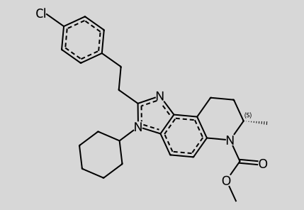 COC(=O)N1c2ccc3c(nc(CCc4ccc(Cl)cc4)n3C3CCCCC3)c2CC[C@@H]1C